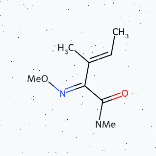 C/C=C(C)/C(=N\OC)C(=O)NC